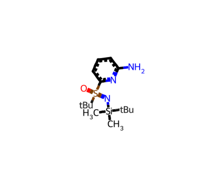 CC(C)(C)[Si](C)(C)N=S(=O)(c1cccc(N)n1)C(C)(C)C